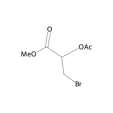 COC(=O)C(CBr)OC(C)=O